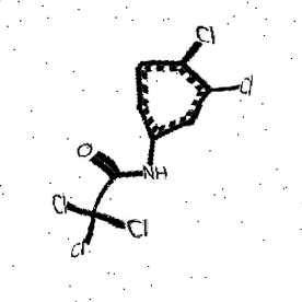 O=C(Nc1ccc(Cl)c(Cl)c1)C(Cl)(Cl)Cl